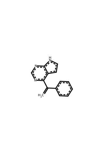 C=C(c1ccccc1)c1ncnc2[nH]ccc12